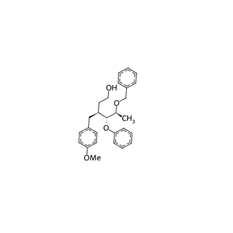 COc1ccc(C[C@@H](CCO)[C@@H](Oc2ccccc2)[C@H](C)OCc2ccccc2)cc1